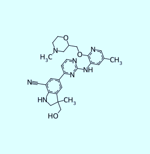 Cc1cnc(OCC2CN(C)CCO2)c(Nc2nccc(-c3cc(C#N)c4c(c3)C(C)(CO)CN4)n2)c1